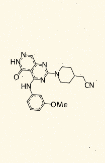 COc1cccc(Nc2nc(N3CCC(CC#N)CC3)nc3cn[nH]c(=O)c23)c1